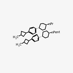 CCCCC[C@H]1CC[C@H](c2ccc(C3CC(C)C3)cc2)CC1.CCC[C@H]1CC[C@H](c2ccc(C3CC(C)C3)cc2)CC1